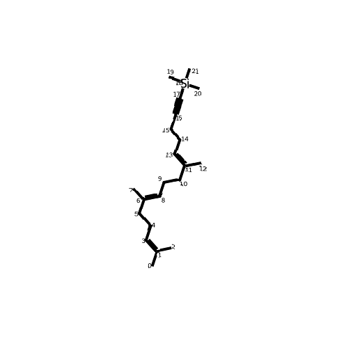 CC(C)=CCCC(C)=CCCC(C)=CCCC#C[Si](C)(C)C